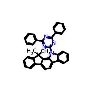 CC1(C)c2ccccc2-c2ccc3c4ccccc4n(-c4nc(-c5ccccc5)nc(-c5ccccc5)n4)c3c21